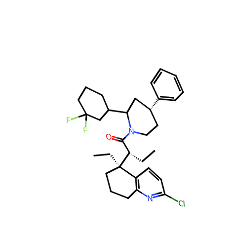 CC[C@@H](C(=O)N1CC[C@@H](c2ccccc2)CC1C1CCCC(F)(F)C1)[C@]1(CC)CCCc2nc(Cl)ccc21